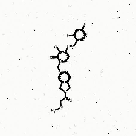 CNCC(=O)N1Cc2ccc(Cn3ccc(OCc4ccc(F)cc4F)c(Cl)c3=O)cc2C1